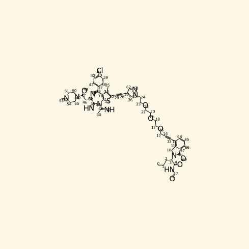 CCCC(C(=O)NC=O)N1Cc2c(C#CCOCCOCCOCCn3cc(C#Cc4sc5c(c4C)C(c4ccc(Cl)cc4)=N[C@@H](CC(=O)N4CCN(C)CC4)C(=N)N5C(C)=N)cn3)cccc2C1=O